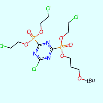 CC(C)(C)OCCCOP(=O)(OCCCl)c1nc(Cl)nc(P(=O)(OCCCl)OCCCl)n1